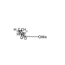 COCCCCCCCCCCCC(=O)Nc1ccccc1C(=O)Nc1nc(C)c(C)s1